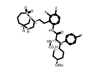 CO[C@H]1CC[C@H]([C@H](c2ccc(F)cc2)[C@H](NC(=O)O)C(=O)Nc2ccc(F)c(F)c2CC[C@H]2CN[C@@H]3CCCS(=O)(=O)N2C3)CC1